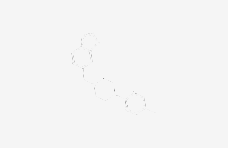 Cc1cnc(N2CCN([C@H](C)c3ccc4scnc4c3)CC2)nc1